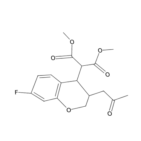 COC(=O)C(C(=O)OC)C1c2ccc(F)cc2OCC1CC(C)=O